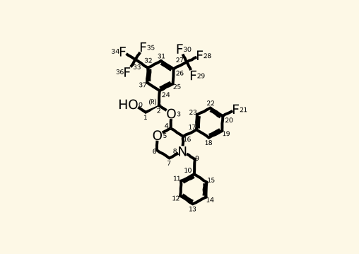 OC[C@H](OC1OCCN(Cc2ccccc2)C1c1ccc(F)cc1)c1cc(C(F)(F)F)cc(C(F)(F)F)c1